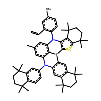 C=Cc1cc(C(C)(C)C)ccc1N1c2cc(C)cc3c2B(c2cc4c(cc2N3c2ccc3c(c2)C(C)(C)CCC3(C)C)C(C)(C)CCC4(C)C)c2sc3c(c21)C(C)(C)CCC3(C)C